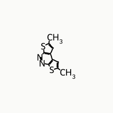 Cc1cc2c(nnc3sc(C)cc32)s1